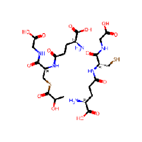 CC(O)C(=O)SC[C@H](NC(=O)CC[C@H](N)C(=O)O)C(=O)NCC(=O)O.N[C@@H](CCC(=O)N[C@@H](CS)C(=O)NCC(=O)O)C(=O)O